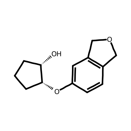 O[C@H]1CCC[C@H]1Oc1ccc2c(c1)COC2